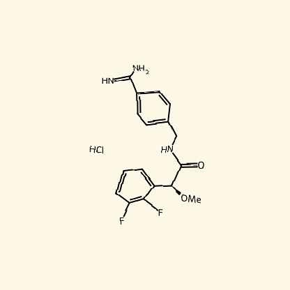 CO[C@H](C(=O)NCc1ccc(C(=N)N)cc1)c1cccc(F)c1F.Cl